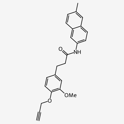 C#CCOc1ccc(CCC(=O)Nc2ccc3cc(C)ccc3c2)cc1OC